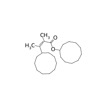 CC(C(=O)OC1CCCCCCCCC1)=C(C)C1CCCCCCCCC1